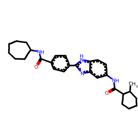 CC1CCCCC1C(=O)Nc1ccc2[nH]c(-c3ccc(C(=O)NC4CCCCCC4)cc3)nc2c1